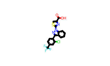 O=C(O)c1csc(-n2nc(-c3ccc(C(F)(F)F)cc3Cl)c3ccccc32)n1